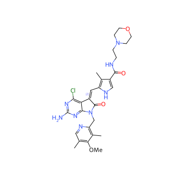 COc1c(C)cnc(CN2C(=O)/C(=C\c3[nH]cc(C(=O)NCCN4CCOCC4)c3C)c3c(Cl)nc(N)nc32)c1C